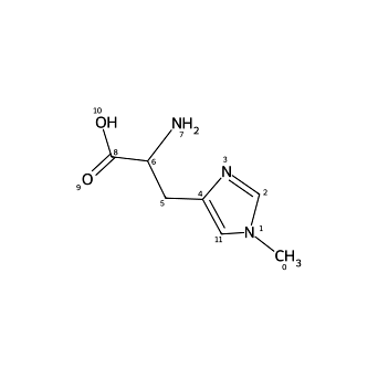 Cn1cnc(CC(N)C(=O)O)c1